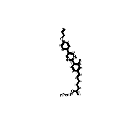 C=CCOc1ccc(-c2cnc(-c3ccc(/C=C/CCCC(C)OCCCCC)cc3F)nc2)cc1